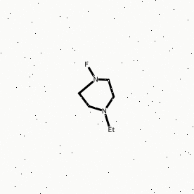 [CH2]CN1CCN(F)CC1